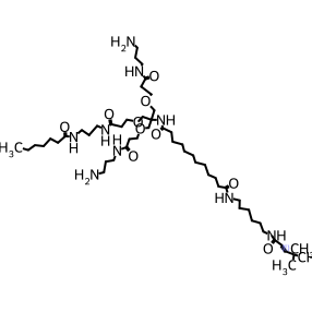 CCCCCCC(=O)NCCCNC(=O)CCOCC(COCCC(=O)NCCCN)(COCCC(=O)NCCCN)NC(=O)CCCCCCCCCCC(=O)NCCCCCCNC(=O)/C=C/C(C)(C)C